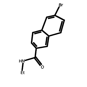 CCNC(=O)c1ccc2cc(Br)ccc2c1